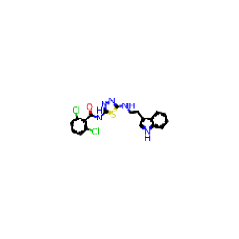 O=C(Nc1nnc(NCCc2c[nH]c3ccccc23)s1)c1c(Cl)cccc1Cl